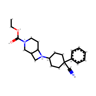 CCOC(=O)N1CCC2C(C1)CN2C1CCC(C#N)(c2ccccc2)CC1